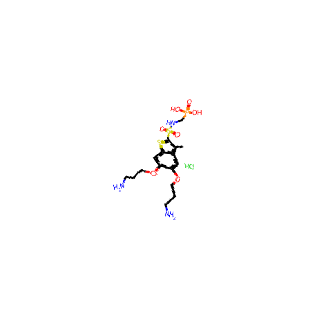 Cc1c(S(=O)(=O)NCP(=O)(O)O)sc2cc(OCCCN)c(OCCCN)cc12.Cl